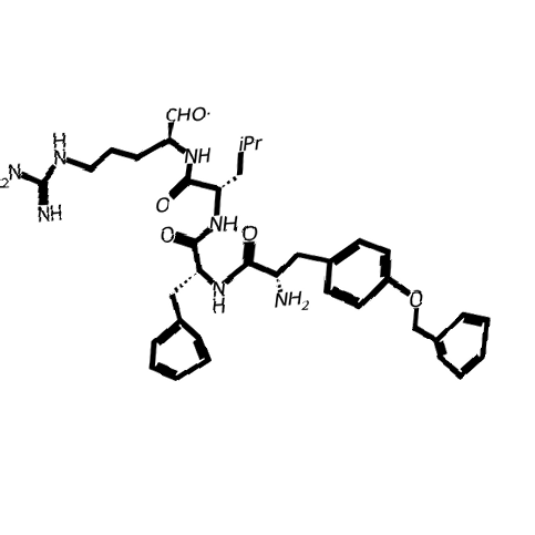 CC(C)C[C@H](NC(=O)[C@@H](Cc1ccccc1)NC(=O)[C@@H](N)Cc1ccc(OCc2ccccc2)cc1)C(=O)N[C@H]([C]=O)CCCNC(=N)N